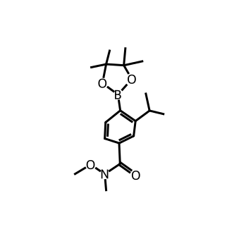 CON(C)C(=O)c1ccc(B2OC(C)(C)C(C)(C)O2)c(C(C)C)c1